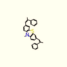 CC(=Cc1ccc2c(c1)Sc1cc(C=C(C)c3ccccc3)ccc1N2C)c1ccccc1